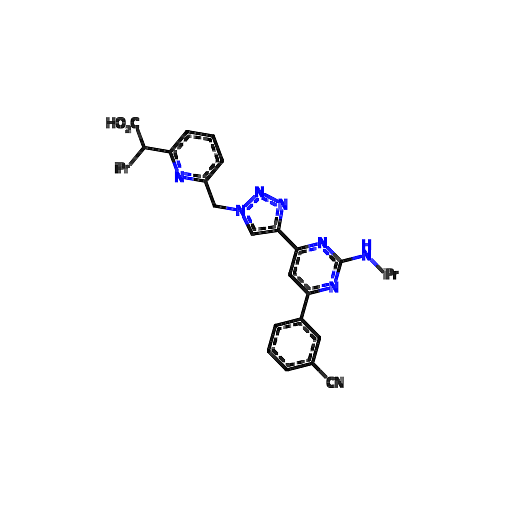 CC(C)Nc1nc(-c2cccc(C#N)c2)cc(-c2cn(Cc3cccc(C(C(=O)O)C(C)C)n3)nn2)n1